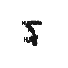 CNCCN(C)C(=O)c1ccc(N2CCN(CCn3cnc4c3nc(N)n3nc(-c5ccco5)nc43)CC2)c(F)c1